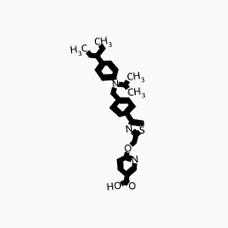 CCC(CC)c1ccc(N(Cc2ccc(-c3csc(COc4ccc(C(=O)O)cn4)n3)cc2)C(C)C)cc1